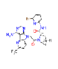 Nc1ncnc2c1c1nc(C(F)(F)F)ccc1n2CC(=O)N1C2C[C@@H]2C[C@H]1C(=O)Nc1cccc(Br)n1